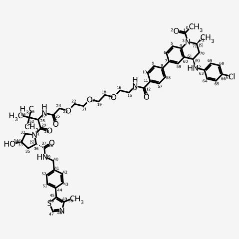 CC(=O)N1c2ccc(-c3ccc(C(=O)NCCOCCOCCOCC(=O)NC(C(=O)N4C[C@H](O)C[C@H]4C(=O)NCc4ccc(-c5scnc5C)cc4)C(C)(C)C)cc3)cc2[C@H](Nc2ccc(Cl)cc2)C[C@@H]1C